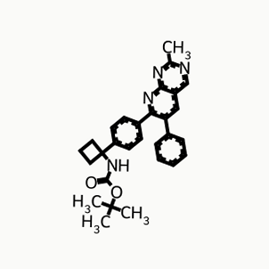 Cc1ncc2cc(-c3ccccc3)c(-c3ccc(C4(NC(=O)OC(C)(C)C)CCC4)cc3)nc2n1